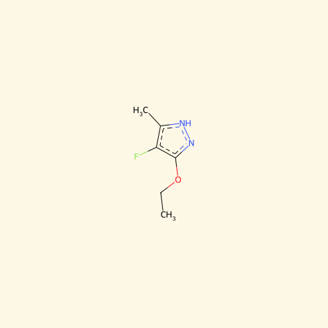 CCOc1n[nH]c(C)c1F